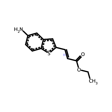 CCOC(=O)/C=C/c1cc2cc(N)ccc2s1